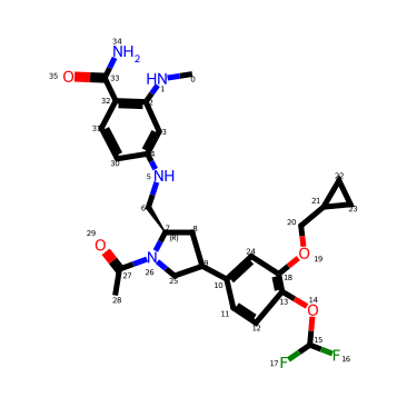 CNc1cc(NC[C@H]2CC(c3ccc(OC(F)F)c(OCC4CC4)c3)CN2C(C)=O)ccc1C(N)=O